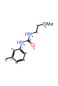 COCCNC(=O)Nc1cccc(C)c1